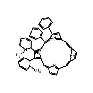 CN1C=CC=CC1c1c(C2C=CC=CN2C)c2[nH]c1cc1nc(cc3ccc(cc4nc(c2-c2ccccc2)C(c2ccccc2)=C4)[nH]3)C=C1